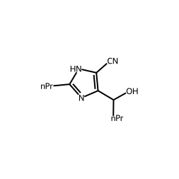 CCCc1nc(C(O)CCC)c(C#N)[nH]1